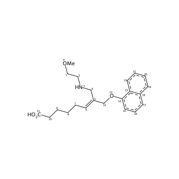 COCCNC/C(=C\CCCCC(=O)O)COc1cccc2ccccc12